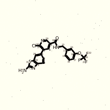 Nc1nc2ccc(-c3cc(C(=O)NCc4cccc(OC(F)(F)F)c4)cnc3Cl)cc2s1